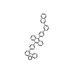 c1cc(-c2ccc(-c3c4ccccc4c(-c4ccc(-c5cccc6oc7ccccc7c56)cc4)c4ccccc34)cc2)cc(-c2ccc3ccccc3c2)c1